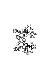 CC(C)(C)c1cc(OP2N/C=C\C=C\Cc3cccn32)c2c(c1)C(C)(C)c1cc(C(C)(C)C)cc(OP3n4cccc4Cc4cccn43)c1O2